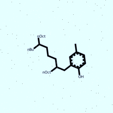 CCCCCCCCC(CCCC)CCCC(CCCCCCCC)Cc1cc(C)ccc1O